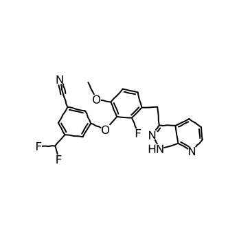 COc1ccc(Cc2n[nH]c3ncccc23)c(F)c1Oc1cc(C#N)cc(C(F)F)c1